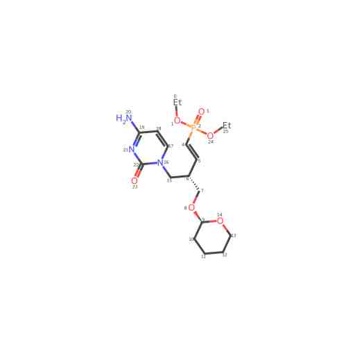 CCOP(=O)(/C=C/[C@H](CO[C@@H]1CCCCO1)Cn1ccc(N)nc1=O)OCC